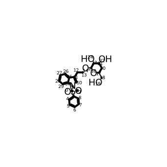 O=S(=O)(c1ccccc1)n1cc(CCO[C@H]2O[C@H](CO)C[C@H](O)[C@H]2O)c2ccccc21